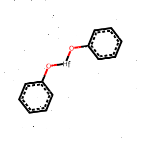 c1ccc([O][Hf][O]c2ccccc2)cc1